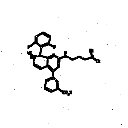 CCN(CC)CCCNc1cc(-c2cccc(C(=O)O)c2)c2c(n1)C(c1c(F)cccc1F)[NH+]([O-])C=C2